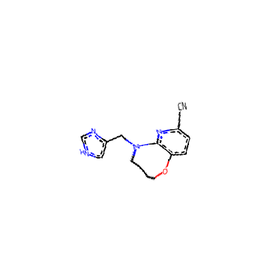 N#Cc1ccc2c(n1)N(Cc1c[nH]cn1)CCO2